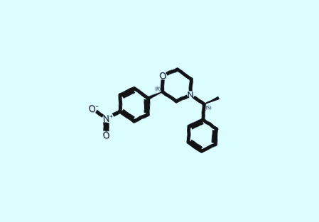 C[C@@H](c1ccccc1)N1CCO[C@H](c2ccc([N+](=O)[O-])cc2)C1